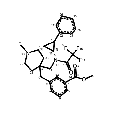 COC(=O)c1cccc(CC2(CN(C(=O)C(F)(F)F)[C@@H]3CC3c3ccccc3)CCN(C)CC2)c1